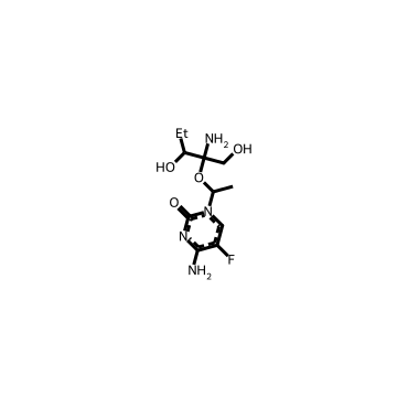 CCC(O)C(N)(CO)OC(C)n1cc(F)c(N)nc1=O